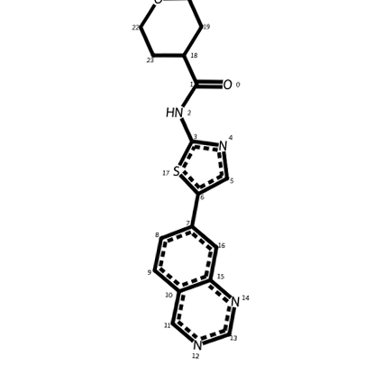 O=C(Nc1ncc(-c2ccc3cncnc3c2)s1)C1CCOCC1